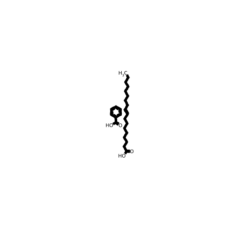 CCCCCCCCC=CCCCCCCCC(=O)O.O=C(O)c1ccccc1